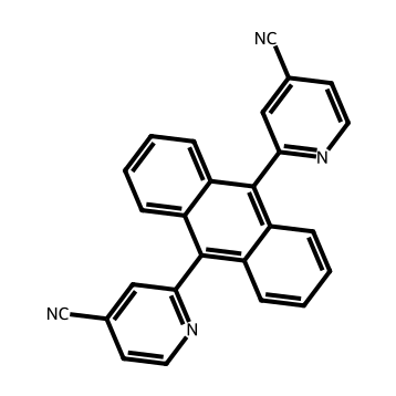 N#Cc1ccnc(-c2c3ccccc3c(-c3cc(C#N)ccn3)c3ccccc23)c1